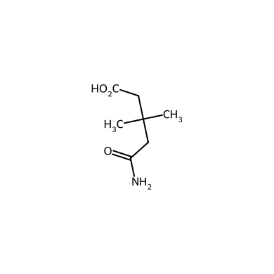 CC(C)(CC(N)=O)CC(=O)O